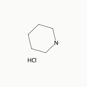 C1CC[N]CC1.Cl